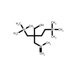 C=[N+](C)CC(CO)(CC[N+](C)(C)C)C[N+](C)(C)C